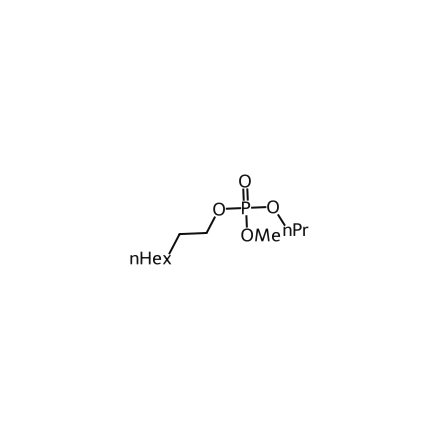 CCCCCCCCOP(=O)(OC)OCCC